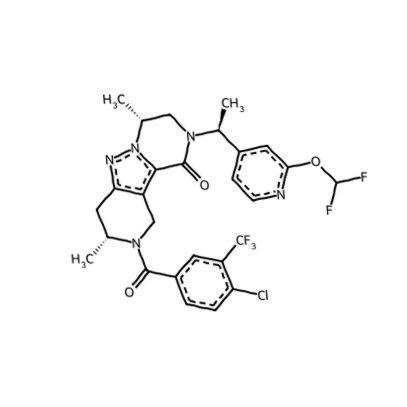 C[C@@H]1Cc2nn3c(c2CN1C(=O)c1ccc(Cl)c(C(F)(F)F)c1)C(=O)N([C@@H](C)c1ccnc(OC(F)F)c1)C[C@H]3C